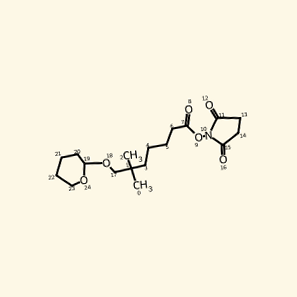 CC(C)(CCCCC(=O)ON1C(=O)CCC1=O)COC1CCCCO1